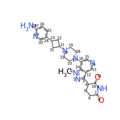 Cn1nc(C2CCC(=O)NC2=O)c2cncc(N3CCN(C4CC(c5ccc(N)nc5)C4)CC3)c21